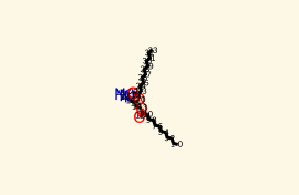 CCCCCCCCCCCC(=O)OCC(CN=[N+]=[N-])OC(=O)CCCCCCCCCCC